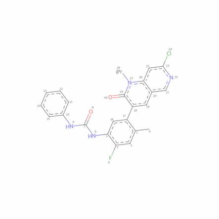 Cc1cc(F)c(NC(=O)Nc2ccccc2)cc1-c1cc2cnc(Cl)cc2n(C(C)C)c1=O